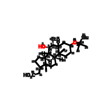 CC[C@H]1[C@@H](O)[C@@H]2[C@H](CC[C@]3(C)[C@@H](CC(=O)O)CC[C@@H]23)[C@@]2(C)CCC(O[Si](C)(C)C(C)(C)C)C[C@@H]12